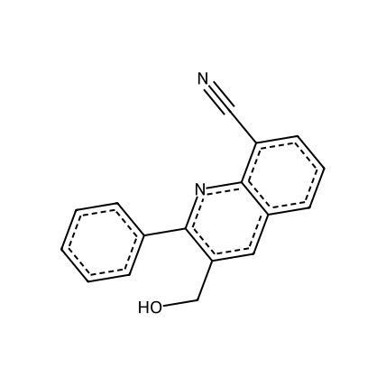 N#Cc1cccc2cc(CO)c(-c3ccccc3)nc12